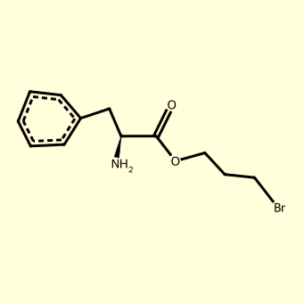 N[C@@H](Cc1ccccc1)C(=O)OCCCBr